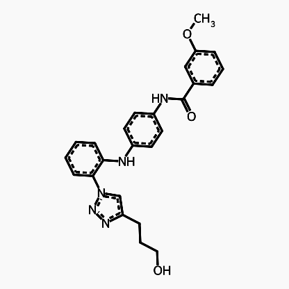 COc1cccc(C(=O)Nc2ccc(Nc3ccccc3-n3cc(CCCO)nn3)cc2)c1